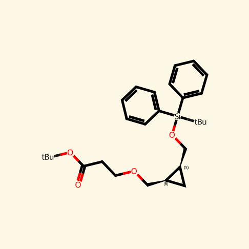 CC(C)(C)OC(=O)CCOC[C@@H]1C[C@@H]1CO[Si](c1ccccc1)(c1ccccc1)C(C)(C)C